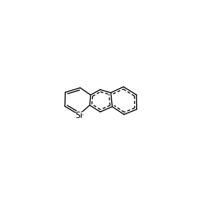 C1=Cc2cc3ccccc3cc2[Si]=C1